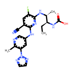 CC[C@H](NC(=O)O)[C@@H](C)Nc1nc(Nc2cnc(C)c(-n3nccn3)c2)c(C#N)cc1F